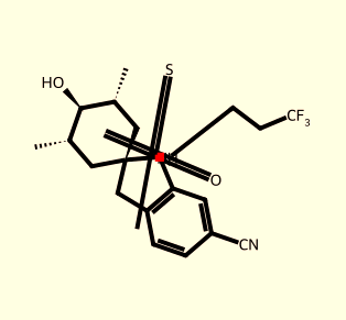 C[C@@H]1C[C@@]2(Cc3ccc(C#N)cc3[C@]23NC(=S)N(CCC(F)(F)F)C3=O)C[C@H](C)[C@H]1O